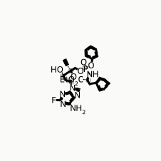 C#C[C@]1(CO[P@@](=O)(N[C@H](Cc2ccccc2)C(=O)OCC)Oc2ccccc2)O[C@@H](n2cnc3c(N)nc(F)nc32)C[C@@H]1O